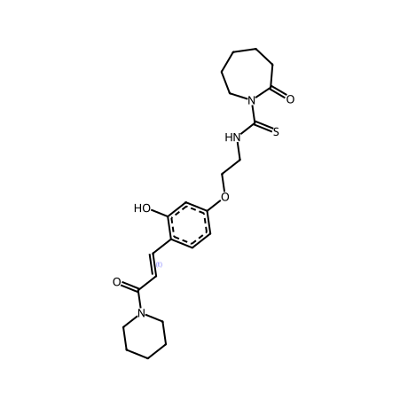 O=C(/C=C/c1ccc(OCCNC(=S)N2CCCCCC2=O)cc1O)N1CCCCC1